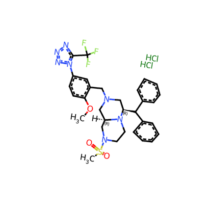 COc1ccc(-n2nnnc2C(F)(F)F)cc1CN1C[C@@H]2CN(S(C)(=O)=O)CCN2[C@H](C(c2ccccc2)c2ccccc2)C1.Cl.Cl